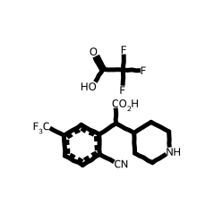 N#Cc1ccc(C(F)(F)F)cc1C(C(=O)O)C1CCNCC1.O=C(O)C(F)(F)F